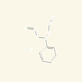 O=POP(OP=O)c1ccccc1.[NaH]